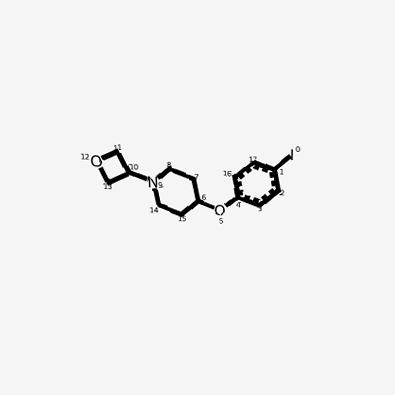 Ic1ccc(OC2CCN(C3COC3)CC2)cc1